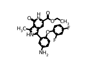 CCOC(=O)c1cc2c(-c3cc(N)ccc3Oc3ccc(F)cc3F)[nH]c(C)c2c(=O)[nH]1